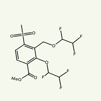 COC(=O)c1ccc(S(C)(=O)=O)c(COC(F)C(F)F)c1OC(F)C(F)F